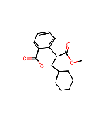 COC(=O)C1c2ccccc2C(=O)OC1C1CCCCC1